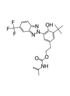 C=C(C)NC(=O)OCCc1cc(-n2nc3ccc(C(F)(F)F)cc3n2)c(O)c(C(C)(C)C)c1